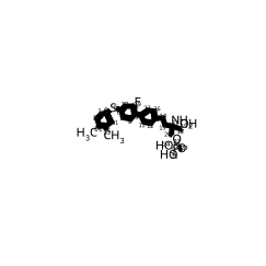 Cc1ccc(Sc2ccc(-c3ccc(CCC(N)(CO)COP(=O)(O)O)cc3)c(F)c2)cc1C